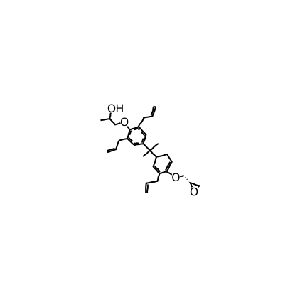 C=CCC1=CC(C(C)(C)c2cc(CC=C)c(OCC(C)O)c(CC=C)c2)CC=C1OC[C@@H]1CO1